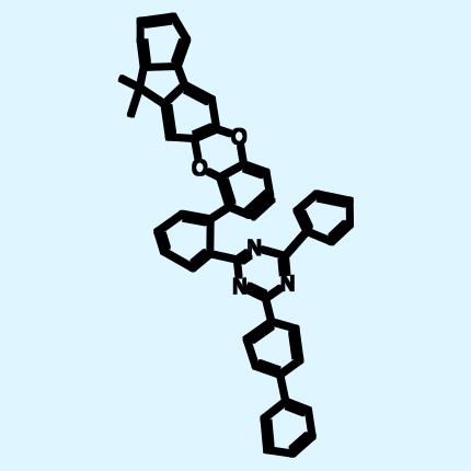 CC1(C)c2ccccc2-c2cc3c(cc21)Oc1c(-c2ccccc2-c2nc(-c4ccccc4)nc(-c4ccc(-c5ccccc5)cc4)n2)c#ccc1O3